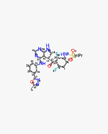 CCCS(=O)(=O)Nc1ccc(F)c(C(=O)c2c[nH]c3ncnc(Nc4cccc(-c5nnc(C)o5)c4)c23)c1F